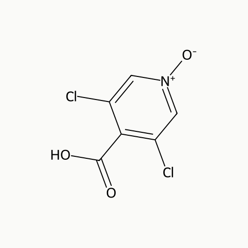 O=C(O)c1c(Cl)c[n+]([O-])cc1Cl